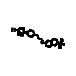 CCc1cnc(N2CCC(CCCOc3ccc4c(c3)CCN(S(C)(=O)=O)C4)CC2)nn1